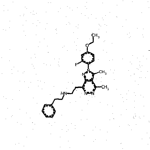 CCOc1ccc(-n2nc3c(CCNCCc4ccccc4)nnc(C)c3c2C)c(F)c1